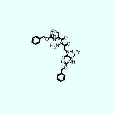 CC(C)C[C@H](NC(=O)OCc1ccccc1)C(=O)NCC(=O)N(N)C(=O)[C@H](CC(C)C)NC(=O)OCc1ccccc1